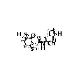 N#CC(C[C@@H]1CCNC1=O)NC(=O)[C@H]1CSC2CCC(N)C(=O)N21